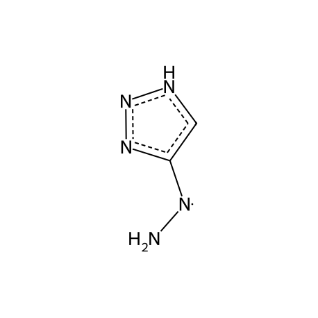 N[N]c1c[nH]nn1